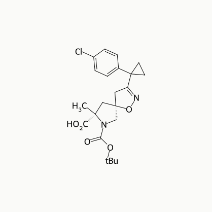 CC(C)(C)OC(=O)N1C[C@@]2(CC(C3(c4ccc(Cl)cc4)CC3)=NO2)C[C@@]1(C)C(=O)O